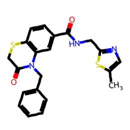 Cc1cnc(CNC(=O)c2ccc3c(c2)N(Cc2ccccc2)C(=O)CS3)s1